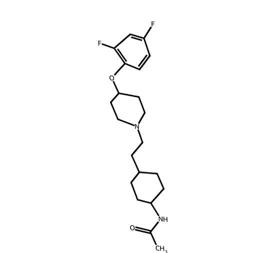 CC(=O)NC1CCC(CCN2CCC(Oc3ccc(F)cc3F)CC2)CC1